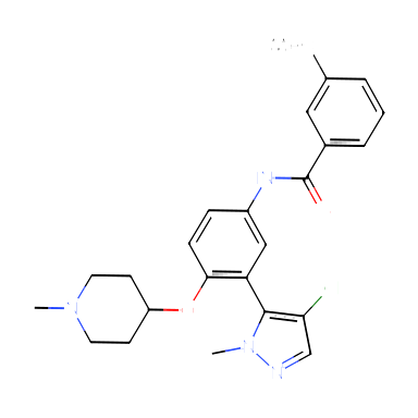 COc1cccc(C(=O)Nc2ccc(OC3CCN(C)CC3)c(-c3c(Cl)cnn3C)c2)c1